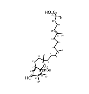 CCCCC12OC(C)(CCCC(C)CCC/C(C)=C/CCC(C)C(=O)O)CCC1=CC(O)C(C)=C2C